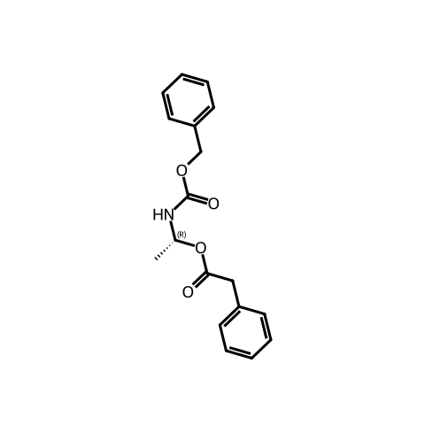 C[C@H](NC(=O)OCc1ccccc1)OC(=O)Cc1ccccc1